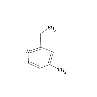 BCc1cc(C)ccn1